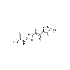 O=C(O)NC1CC(NC(=O)c2ncc(Br)s2)C1